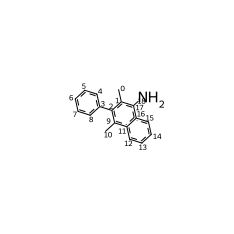 Cc1c(-c2ccccc2)c(C)c2ccccc2c1N